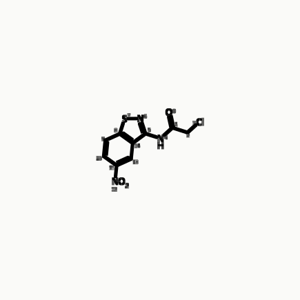 O=C(CCl)Nc1nsc2ccc([N+](=O)[O-])cc12